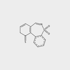 O=S1(=O)N=CC2=C(C(=S)CC=C2)c2ccccc21